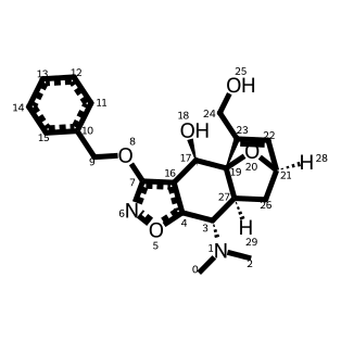 CN(C)[C@@H]1c2onc(OCc3ccccc3)c2[C@@H](O)[C@@]23O[C@@H](C=C2CO)C[C@@H]13